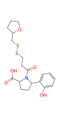 O=C(O)C1CCC(c2ccccc2O)N1C(=O)CCSSCC1CCCO1